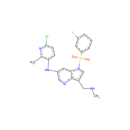 CNCc1cn(S(=O)(=O)c2cccc(F)c2)c2cc(Nc3ccc(Cl)nc3C)cnc12